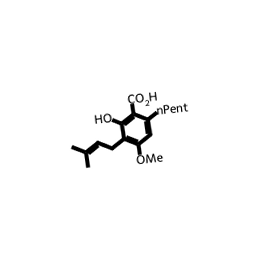 CCCCCc1cc(OC)c(CC=C(C)C)c(O)c1C(=O)O